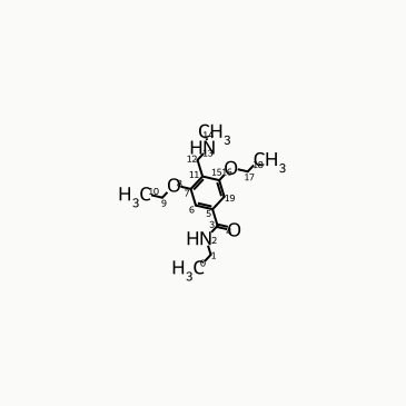 CCNC(=O)c1cc(OCC)c(CNC)c(OCC)c1